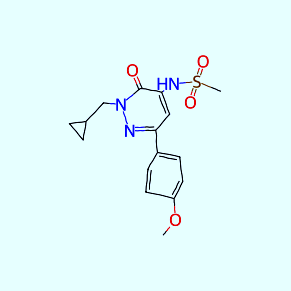 COc1ccc(-c2cc(NS(C)(=O)=O)c(=O)n(CC3CC3)n2)cc1